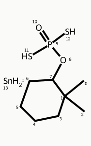 CC1(C)CCCCC1OP(=O)(S)S.[SnH2]